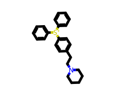 c1ccc([S+](c2ccccc2)c2ccc(CCN3CCCCC3)cc2)cc1